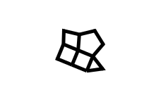 C1CC23CC2C2CC4CC1C423